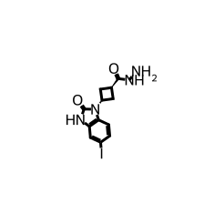 NNC(=O)[C@H]1C[C@H](n2c(=O)[nH]c3cc(I)ccc32)C1